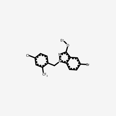 CCOc1nn(Cc2ccc(Cl)cc2C(F)(F)F)c2ccc(Br)cc12